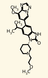 COCCN1CCC[C@H](n2c(=O)[nH]c3cc(-c4cc(OC)c5ncnn5c4)c(C(C)C)cc32)C1